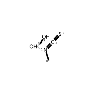 CN=C=S.O=CO